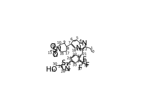 CCc1nc2ccc(C3CCN(S(C)(=O)=O)CC3)cn2c1Cc1ccc(-c2ncc(CO)s2)cc1C(F)(F)F